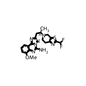 COc1cccc2c1nc(N)n1nc(C[C@@H](C)N3CCc4nc(C(F)F)sc4C3)nc21